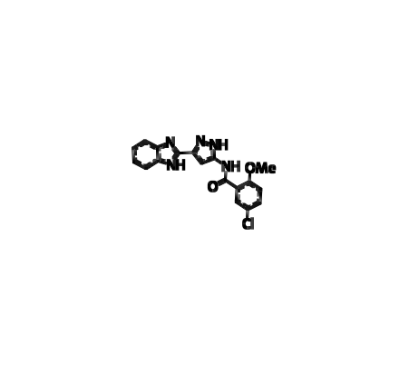 COc1ccc(Cl)cc1C(=O)Nc1cc(-c2nc3ccccc3[nH]2)n[nH]1